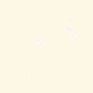 Cn1cc(C(=O)Nc2cccc(O)c2)cn1